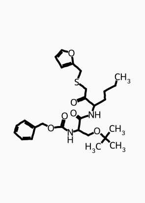 CCCCC(NC(=O)C(COC(C)(C)C)NC(=O)OCc1ccccc1)C(=O)CSCc1ccco1